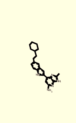 Cc1nc2c(-c3cc4cc(CCC5CCCCC5)ccc4[nH]3)cc(N)nc2[nH]1